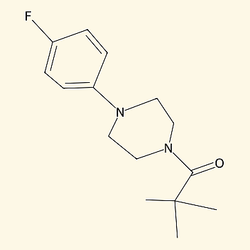 CC(C)(C)C(=O)N1CCN(c2ccc(F)cc2)CC1